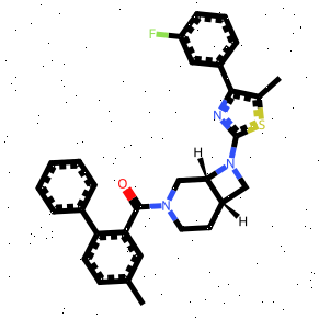 Cc1ccc(-c2ccccc2)c(C(=O)N2CC[C@H]3CN(c4nc(-c5cccc(F)c5)c(C)s4)[C@H]3C2)c1